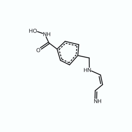 N=C/C=C\NCc1ccc(C(=O)NO)cc1